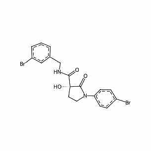 O=C(NCc1cccc(Br)c1)[C@]1(O)CCN(c2ccc(Br)cc2)C1=O